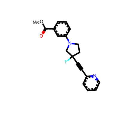 COC(=O)c1cccc(N2CCC(F)(C#Cc3ccccn3)C2)c1